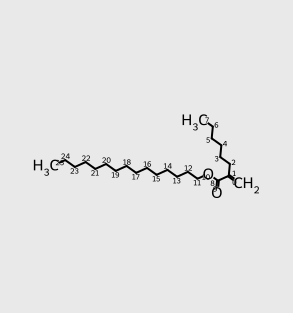 C=C(CCCCCC)C(=O)OCCCCCCCCCCCCCCC